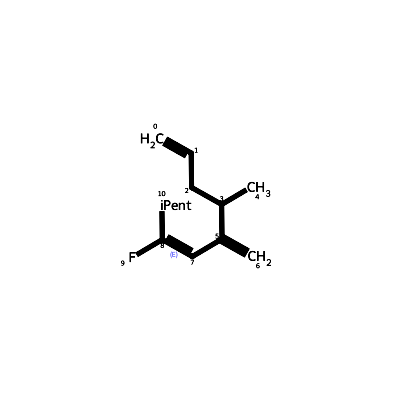 C=CCC(C)C(=C)/C=C(/F)C(C)CCC